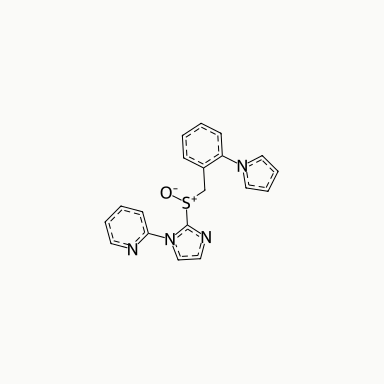 [O-][S+](Cc1ccccc1-n1cccc1)c1nccn1-c1ccccn1